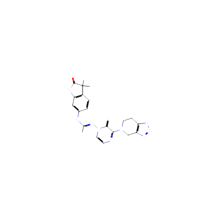 C=C1C(N2CCc3[nH]nnc3C2)=NC=CN1/N=C(\C)Nc1ccc2c(c1)NC(=O)C2(C)C